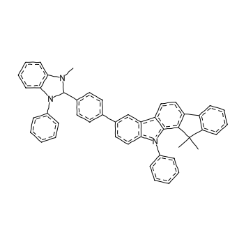 CN1c2ccccc2N(c2ccccc2)C1c1ccc(-c2ccc3c(c2)c2ccc4c(c2n3-c2ccccc2)C(C)(C)c2ccccc2-4)cc1